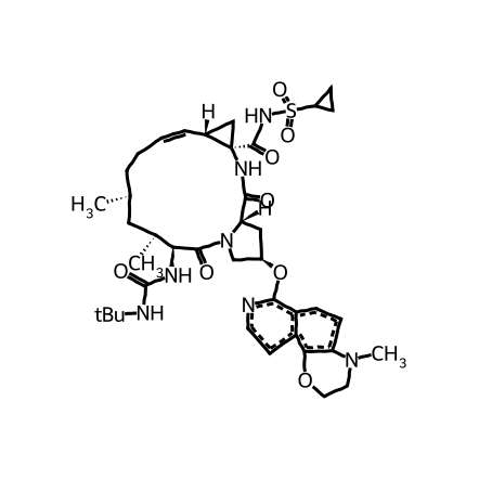 C[C@@H]1CC/C=C\[C@@H]2C[C@@]2(C(=O)NS(=O)(=O)C2CC2)NC(=O)[C@@H]2C[C@@H](Oc3nccc4c5c(ccc34)N(C)CCO5)CN2C(=O)[C@@H](NC(=O)NC(C)(C)C)[C@H](C)C1